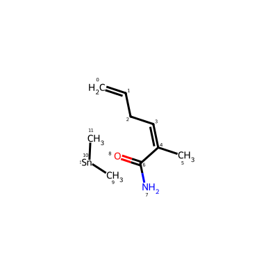 C=CCC=C(C)C(N)=O.[CH3][Sn][CH3]